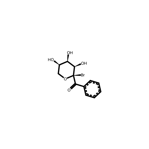 O=C(c1ccccc1)[C@]1(Br)OC[C@@H](O)[C@@H](O)[C@H]1O